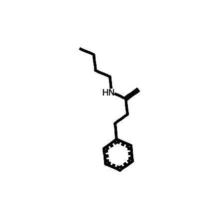 C=C(CCc1ccccc1)NCCCC